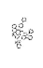 C=C/C(=C\C=C\C1(c2ccccc2)c2ccccc2-c2ccccc21)N(c1ccc(-c2ccccc2)cc1)c1c2ccccc2cc2oc3cc(-c4nc5ccccc5o4)ccc3c12